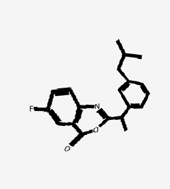 CC(C)Cc1cccc(C(C)c2nc3ccc(F)cc3c(=O)o2)c1